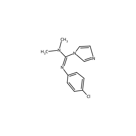 CN(C)C(=Nc1ccc(Cl)cc1)n1ccnc1